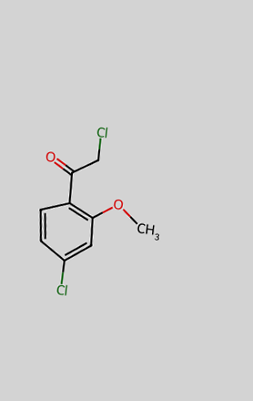 COc1cc(Cl)ccc1C(=O)CCl